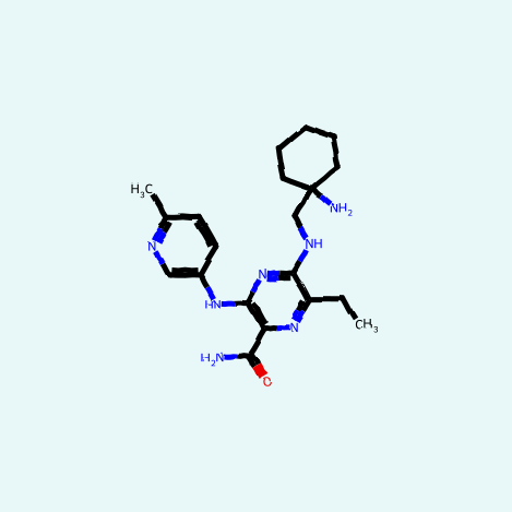 CCc1nc(C(N)=O)c(Nc2ccc(C)nc2)nc1NCC1(N)CCCCC1